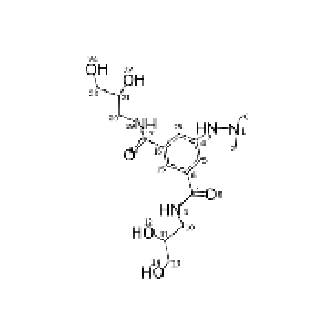 CN(C)Nc1cc(C(=O)NCC(O)CO)cc(C(=O)NCC(O)CO)c1